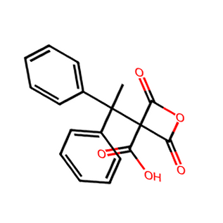 CC(c1ccccc1)(c1ccccc1)C1(C(=O)O)C(=O)OC1=O